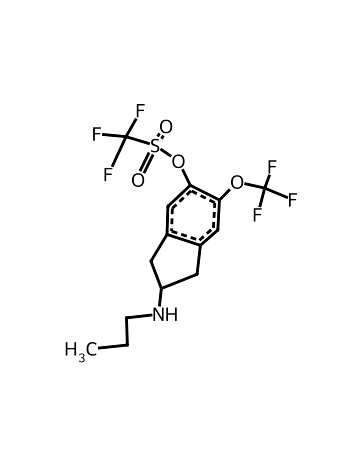 CCCNC1Cc2cc(OC(F)(F)F)c(OS(=O)(=O)C(F)(F)F)cc2C1